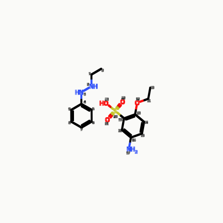 CCNNc1ccccc1.CCOc1ccc(N)cc1S(=O)(=O)O